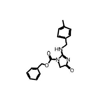 Cc1ccc(CNC2=NC(=O)CN2C(=O)OCc2ccccc2)cc1